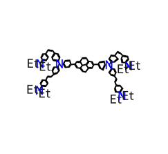 CCN(CC)c1ccc(C=Cc2ccc(N(c3ccc(/C=C\c4ccc(N(CC)CC)cc4)cc3)c3ccc(-c4cc5c6c(c4)CC=C4C=C(c7ccc(N(c8ccc(/C=C\c9ccc(N(CC)CC)cc9)cc8)c8ccc(/C=C/c9ccc(N(CC)CC)cc9)cc8)cc7)C=C(C=C5)C46)cc3)cc2)cc1